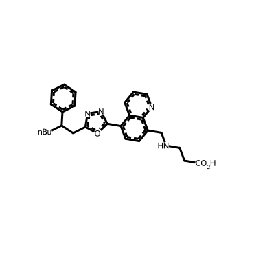 CCCCC(Cc1nnc(-c2ccc(CNCCC(=O)O)c3ncccc23)o1)c1ccccc1